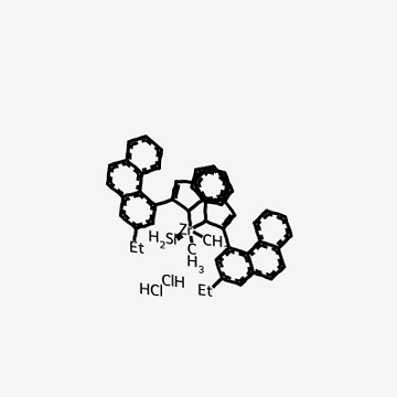 CCc1cc(C2=Cc3ccccc3[CH]2[Zr]([CH3])([CH3])(=[SiH2])[CH]2C(c3cc(CC)cc4ccc5ccccc5c34)=Cc3ccccc32)c2c(ccc3ccccc32)c1.Cl.Cl